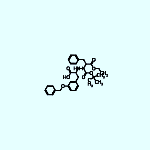 CCOC(=O)[C@H](Cc1ccccc1)N(N[C@@H](Cc1cccc(OCc2ccccc2)c1)C(=O)O)C(=O)OC(C)(C)C